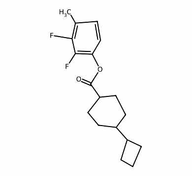 Cc1ccc(OC(=O)C2CCC(C3CCC3)CC2)c(F)c1F